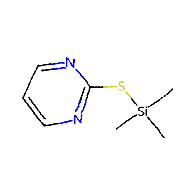 C[Si](C)(C)Sc1ncccn1